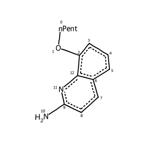 CCCCCOc1cccc2ccc(N)nc12